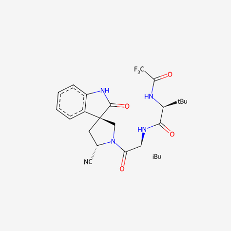 CC[C@H](C)[C@H](NC(=O)[C@@H](NC(=O)C(F)(F)F)C(C)(C)C)C(=O)N1C[C@]2(C[C@H]1C#N)C(=O)Nc1ccccc12